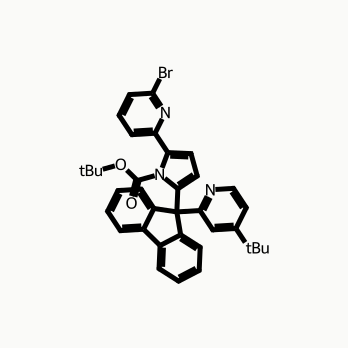 CC(C)(C)OC(=O)n1c(-c2cccc(Br)n2)ccc1C1(c2cc(C(C)(C)C)ccn2)c2ccccc2-c2ccccc21